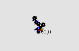 C=C(Cn1c(-c2ccc3nc(-c4ccccc4C)ccc3c2)c(C2CCCCC2)c2sc(C(=O)O)cc21)N1CCCC1